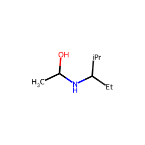 CCC(NC(C)O)C(C)C